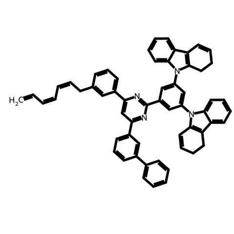 C=C/C=C\C=C/Cc1cccc(-c2cc(-c3cccc(-c4ccccc4)c3)nc(-c3cc(-n4c5c(c6ccccc64)CCC=C5)cc(-n4c5c(c6ccccc64)C=CCC5)c3)n2)c1